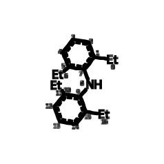 CCc1cccc(CC)c1Nc1c(CC)cccc1CC